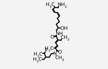 CC/C(=C\C=C(/C)C(=O)N(C)CCC(CC)C(C)F)C(=O)NCC(O)CCC/C=C\C=C/C(C)CN